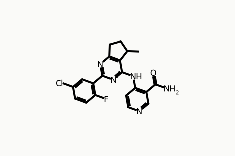 CC1CCc2nc(-c3cc(Cl)ccc3F)nc(Nc3ccncc3C(N)=O)c21